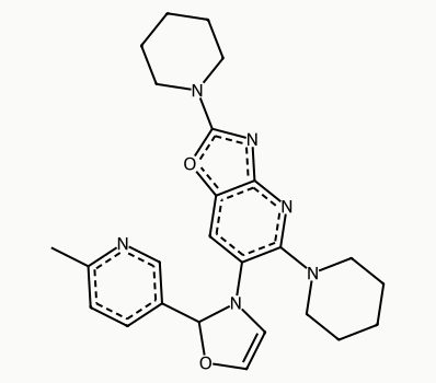 Cc1ccc(C2OC=CN2c2cc3oc(N4CCCCC4)nc3nc2N2CCCCC2)cn1